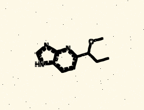 CCC(OC)c1ccc2[nH][c]nc2n1